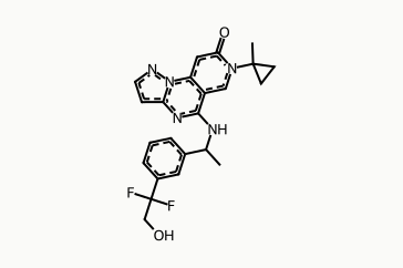 CC(Nc1nc2ccnn2c2cc(=O)n(C3(C)CC3)cc12)c1cccc(C(F)(F)CO)c1